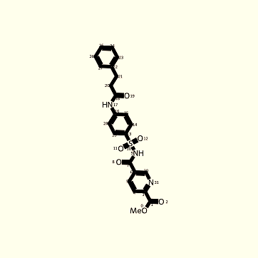 COC(=O)c1ccc(C(=O)NS(=O)(=O)c2ccc(NC(=O)CCc3ccccc3)cc2)cn1